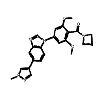 COc1cc(-n2cnc3cc(-c4cnn(C)c4)ccc32)cc(OC)c1C(=O)N1CCC1